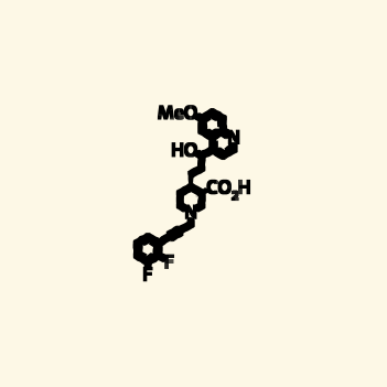 COc1ccc2nccc(C(O)CC[C@@H]3CCN(CC#Cc4cccc(F)c4F)C[C@@H]3C(=O)O)c2c1